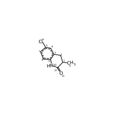 CC1Cc2cc(Cl)ccc2NC1=O